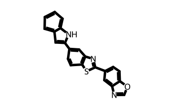 c1ccc2[nH]c(-c3ccc4sc(-c5ccc6ocnc6c5)nc4c3)cc2c1